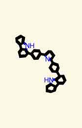 c1cc(-c2ccc(-c3cccc4c3[nH]c3ccccc34)cc2)nc(-c2ccc(-c3cccc4c3[nH]c3ccccc34)cc2)c1